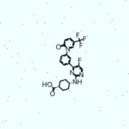 O=c1ccc(C(F)(F)F)cn1-c1cccc(-c2nc(N[C@H]3CC[C@H](C(=O)O)CC3)ncc2F)c1